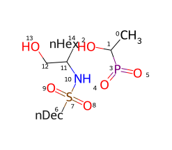 CC(O)P(=O)=O.CCCCCCCCCCS(=O)(=O)NC(CO)CCCCCC